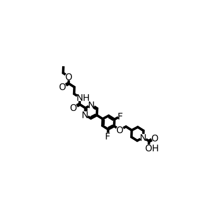 CCOC(=O)CCNC(=O)c1ncc(-c2cc(F)c(OCC3CCN(C(=O)O)CC3)c(F)c2)cn1